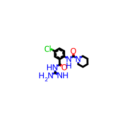 N=C(N)NC(=O)c1cc(Cl)ccc1NC(=O)N1CCCCC1